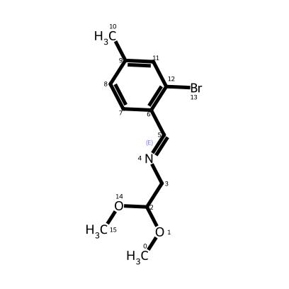 COC(C/N=C/c1ccc(C)cc1Br)OC